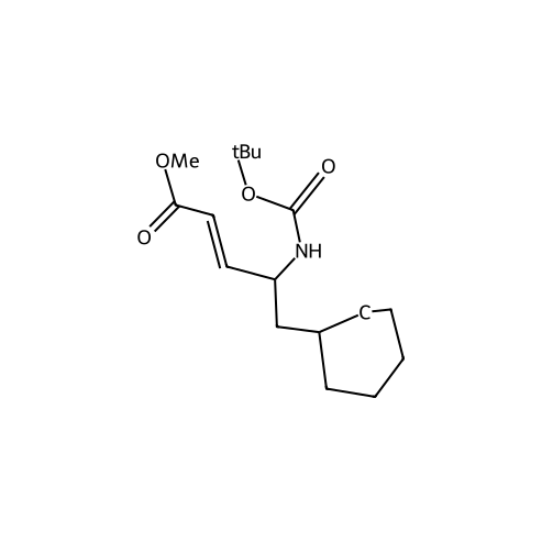 COC(=O)C=CC(CC1CCCCC1)NC(=O)OC(C)(C)C